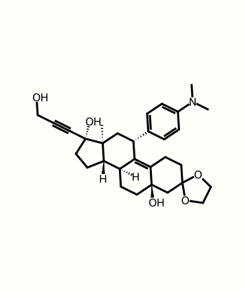 CN(C)c1ccc([C@H]2C[C@@]3(C)[C@@H](CC[C@@]3(O)C#CCO)[C@@H]3CC[C@@]4(O)CC5(CCC4=C32)OCCO5)cc1